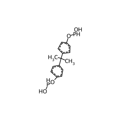 CC(C)(c1ccc(OPO)cc1)c1ccc(OPO)cc1